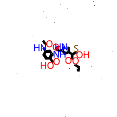 C=CCOC(=O)C(C(O)=S)C1CNC(C(=O)Nc2cc(NC(C)=O)ccc2C(=O)O)C1